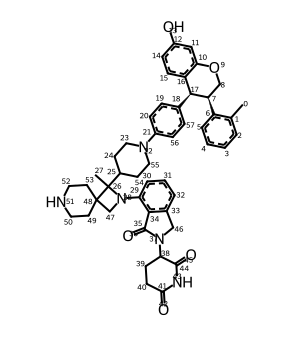 Cc1ccccc1[C@@H]1COc2cc(O)ccc2[C@@H]1c1ccc(N2CCC(C3(C)N(c4cccc5c4C(=O)N(C4CCC(=O)NC4=O)C5)CC34CCNCC4)CC2)cc1